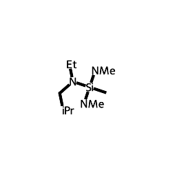 CCN(CC(C)C)[Si](C)(NC)NC